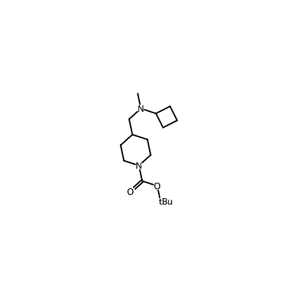 CN(CC1CCN(C(=O)OC(C)(C)C)CC1)C1CCC1